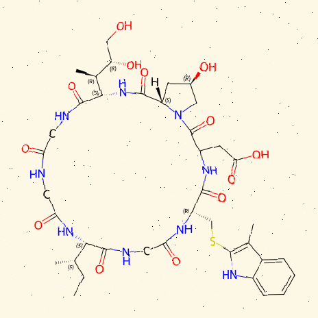 CC[C@H](C)[C@@H]1NC(=O)CNC(=O)CNC(=O)[C@H]([C@@H](C)[C@@H](O)CO)NC(=O)[C@@H]2C[C@@H](O)CN2C(=O)C(CC(=O)O)NC(=O)[C@H](CSc2[nH]c3ccccc3c2C)NC(=O)CNC1=O